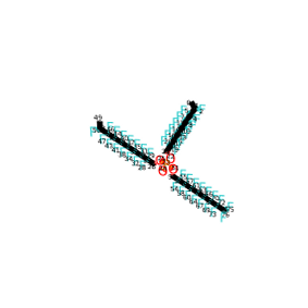 CC(F)C(F)(F)C(F)(F)C(F)(F)C(F)(F)C(F)(F)C(F)(F)COP(=O)(OCC(F)(F)C(F)(F)C(F)(F)C(F)(F)C(F)(F)C(F)(F)C(F)(F)C(C)F)OCC(F)(F)C(F)(F)C(F)(F)C(F)(F)C(F)(F)C(F)(F)C(F)(F)C(F)F